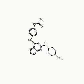 CC(=O)Nc1ccc(Nc2cc(N[C@H]3CC[C@H](N)CC3)nn3ccnc23)cc1